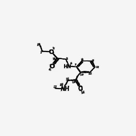 CCOC(=O)CNc1ccccc1C(=O)CNC